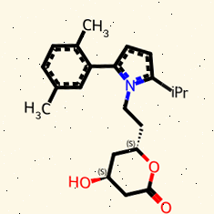 Cc1ccc(C)c(-c2ccc(C(C)C)n2CC[C@H]2C[C@H](O)CC(=O)O2)c1